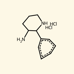 Cl.Cl.NC1CCCNC1c1ccccc1